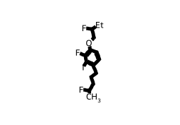 CCC(F)COc1ccc(CCCC(C)F)c(I)c1F